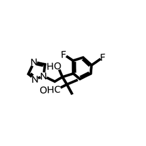 CC(C)(C=O)C(O)(Cn1cncn1)c1ccc(F)cc1F